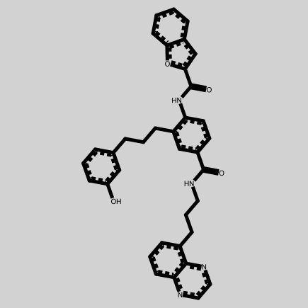 O=C(NCCCc1cccc2nccnc12)c1ccc(NC(=O)c2cc3ccccc3o2)c(CCCc2cccc(O)c2)c1